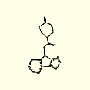 C=C1CCC(C(=O)CC2c3ccccc3-c3cnnn32)CC1